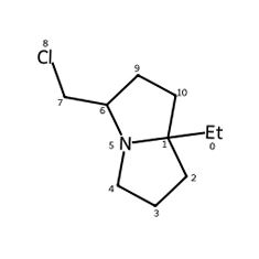 CCC12CCCN1C(CCl)CC2